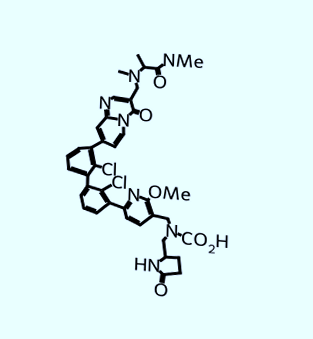 CNC(=O)C(C)N(C)Cc1cnc2cc(-c3cccc(-c4cccc(-c5ccc(CN(CC6CCC(=O)N6)C(=O)O)c(OC)n5)c4Cl)c3Cl)ccn2c1=O